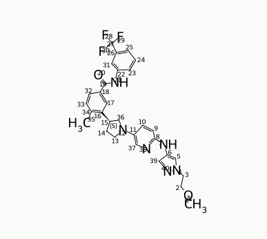 COCCn1cc(Nc2ccc(N3CC[C@@H](c4cc(C(=O)Nc5cccc(C(F)(F)F)c5)ccc4C)C3)cn2)cn1